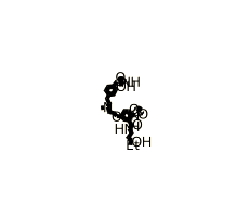 CCC(O)CCNC(=O)c1cc(OCCN(C)CCc2ccc(CS(=N)(=O)O)cc2)ccc1NS(C)(=O)=O